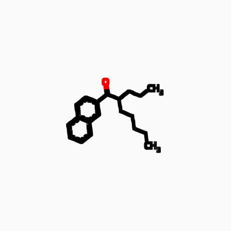 CCCCCC(CCC)C(=O)c1ccc2ccccc2c1